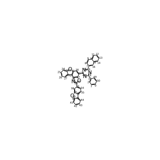 c1ccc(-c2nc(-c3ccc4ccccc4c3)nc(-c3cc4oc5ccccc5c4c4nc(-c5ccc6c(c5)oc5ccccc56)oc34)n2)cc1